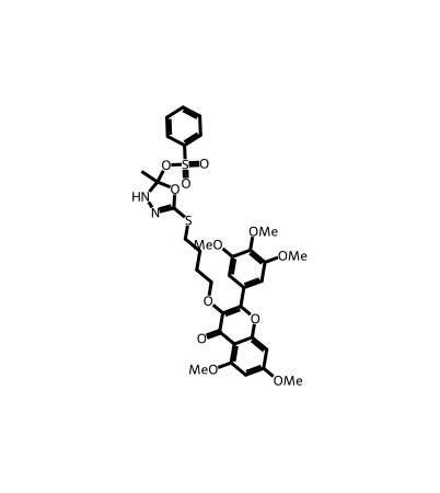 COc1cc(OC)c2c(=O)c(OCCCCSC3=NNC(C)(OS(=O)(=O)c4ccccc4)O3)c(-c3cc(OC)c(OC)c(OC)c3)oc2c1